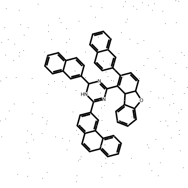 C1=CC2Oc3ccccc3C2C(C2=NC(c3ccc4ccccc4c3)NC(c3ccc4ccc5ccccc5c4c3)=N2)=C1c1ccc2ccccc2c1